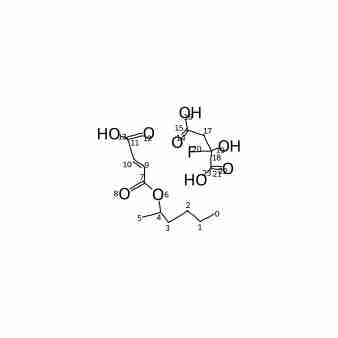 CCCCC(C)OC(=O)C=CC(=O)O.O=C(O)CC(O)(F)C(=O)O